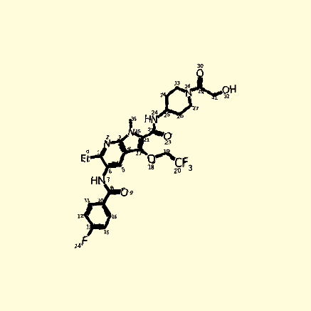 CCc1nc2c(cc1NC(=O)c1ccc(F)cc1)c(OCC(F)(F)F)c(C(=O)NC1CCN(C(=O)CO)CC1)n2C